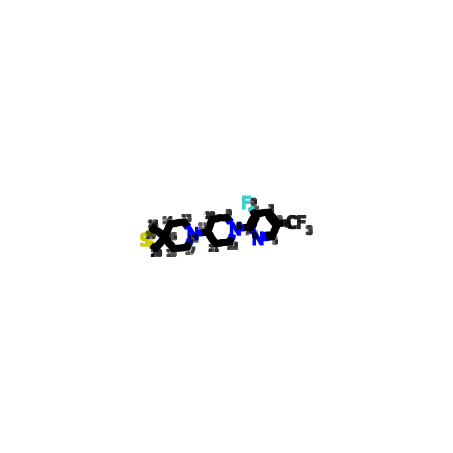 Fc1cc(C(F)(F)F)cnc1N1CCC(N2CCC3(CC2)CSC3)CC1